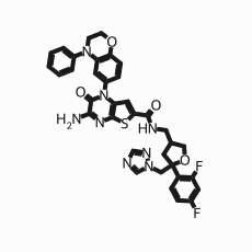 Nc1nc2sc(C(=O)NCC3COC(Cn4cncn4)(c4ccc(F)cc4F)C3)cc2n(-c2ccc3c(c2)N(c2ccccc2)CCO3)c1=O